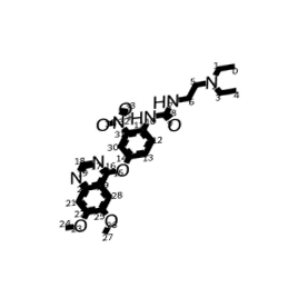 CCN(CC)CCNC(=O)Nc1ccc(Oc2ncnc3cc(OC)c(OC)cc23)cc1[N+](=O)[O-]